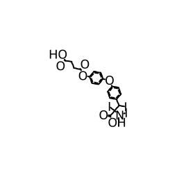 O=C(O)CCC(=O)Oc1ccc(Oc2ccc(C(I)C(I)(C(=O)O)N(I)I)cc2)cc1